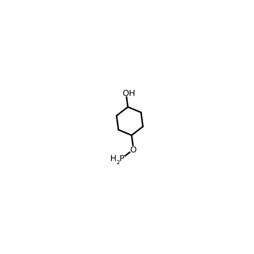 OC1CCC(OP)CC1